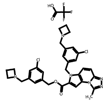 Cc1nnc2ccc3c(cc(C(=O)OCc4cc(Cl)cc(CN5CCC5)c4)n3Cc3cc(Cl)cc(CN4CCC4)c3)n12.O=C(O)C(F)(F)F